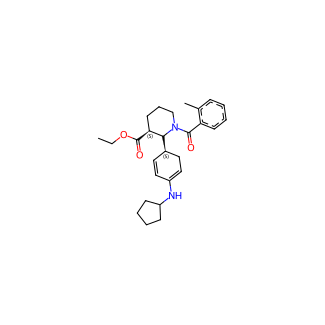 CCOC(=O)[C@H]1CCCN(C(=O)c2ccccc2C)C1[C@@H]1C=CC(NC2CCCC2)=CC1